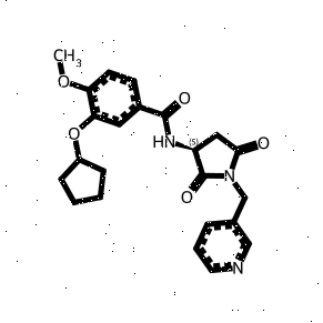 COc1ccc(C(=O)N[C@H]2CC(=O)N(Cc3cccnc3)C2=O)cc1OC1CCCC1